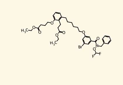 CCOC(=O)CCCOc1cccc(CCCCCCOc2cc(Br)cc(C(=O)N(Cc3ccccc3)OC(F)F)c2)c1CCC(=O)OCC